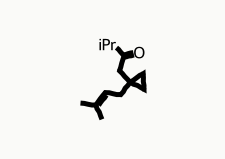 CC(C)=CCC1(CC(=O)C(C)C)CC1